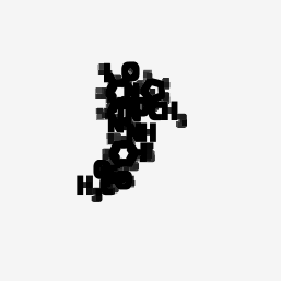 C[C@@]1(O)CCC[C@H]1n1c(=O)c(I)cc2cnc(Nc3ccc(S(C)(=O)=O)cc3F)nc21